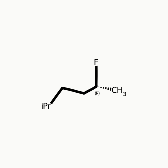 CC(C)CC[C@@H](C)F